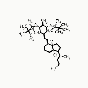 C=C1[C@H](O[Si](C)(C)C(C)(C)C)CC(=C/C=C2\CCC[C@]3(C)C([C@@H](C)CCC)CC[C@@H]23)C[C@H]1O[Si](C)(C)C(C)(C)C